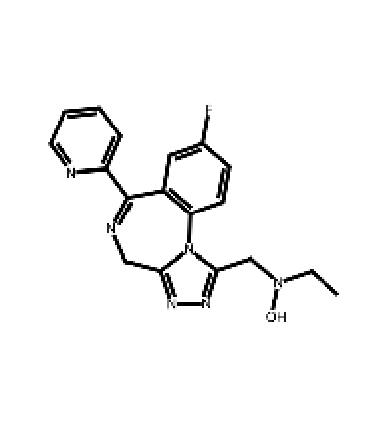 CCN(O)Cc1nnc2n1-c1ccc(F)cc1C(c1ccccn1)=NC2